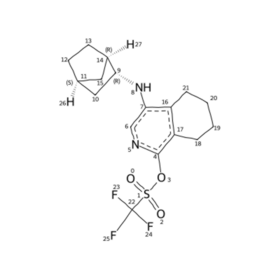 O=S(=O)(Oc1ncc(N[C@@H]2C[C@H]3CC[C@@H]2C3)c2c1CCCC2)C(F)(F)F